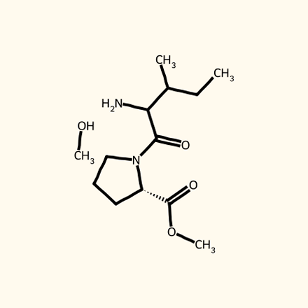 CCC(C)C(N)C(=O)N1CCC[C@H]1C(=O)OC.CO